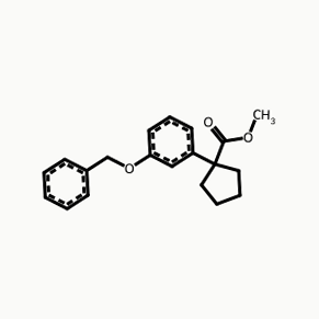 COC(=O)C1(c2cccc(OCc3ccccc3)c2)CCCC1